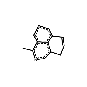 Cc1ncc2c3c(cccc13)C=CC2